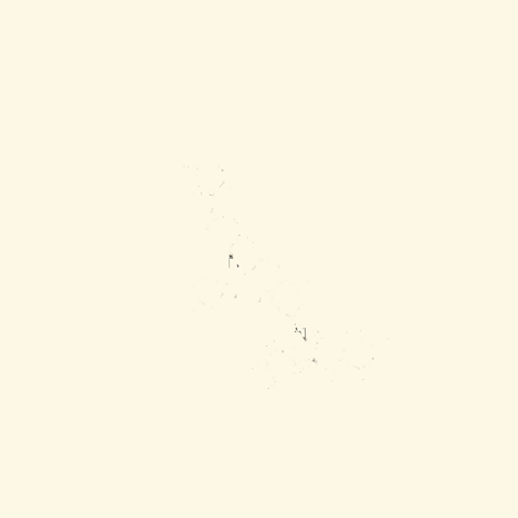 c1ccc(-c2ccc(N(c3ccccc3)c3ccc4ccc(-n5c6ccccc6c6cc7ccccc7cc65)cc4c3)cc2)cc1